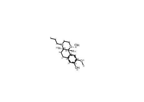 CCCN1CCO[C@@H]2c3cc(OC)c(O)cc3CC[C@H]21.Cl